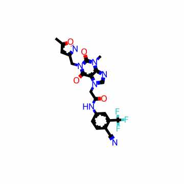 Cc1cc(Cn2c(=O)c3c(ncn3CC(=O)Nc3ccc(C#N)c(C(F)(F)F)c3)n(C)c2=O)no1